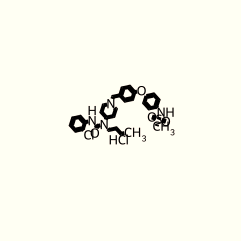 CCCCN(C(=O)Nc1ccccc1Cl)C1CCN(Cc2ccc(Oc3ccc(NS(C)(=O)=O)cc3)cc2)CC1.Cl